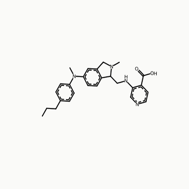 CCCc1ccc(N(C)c2ccc3c(c2)CN(C)C3CNc2cnccc2C(=O)O)cc1